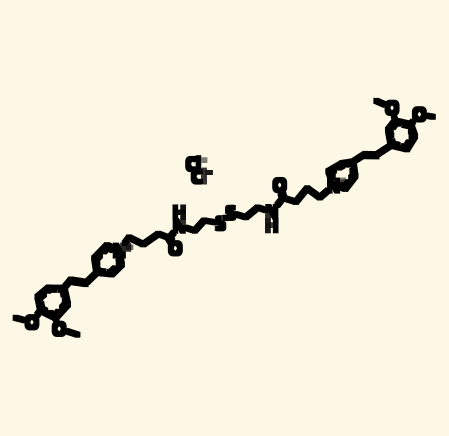 COc1ccc(/C=C/c2cc[n+](CCCC(=O)NCCSSCCNC(=O)CCC[n+]3ccc(/C=C/c4ccc(OC)c(OC)c4)cc3)cc2)cc1OC.[Cl-].[Cl-]